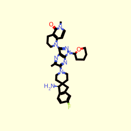 Cc1nc2c(N3CCCc4c3ccn(C)c4=O)nn(C3CCCCO3)c2nc1N1CCC2(CC1)Cc1cc(F)ccc1[C@H]2N